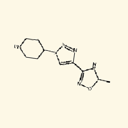 [CH2]C1NC(c2cn(C3CCNCC3)nn2)=NO1